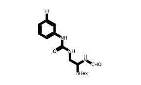 CCCCCCC(CNC(=O)Nc1cccc(Cl)c1)NC=O